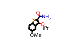 COc1ccc2sc(C(N)=O)c(OC(C)C)c2c1